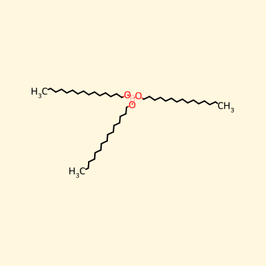 CCCCCCCCCCCCCCCOB(OCCCCCCCCCCCCCCC)OCCCCCCCCCCCCCCC